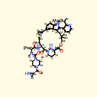 CO[C@@H](C)c1ncccc1-c1c2c3cc(ccc3n1C)-c1csc(n1)C[C@H](NC(=O)[C@H](C(C)C)N(C)C(=O)N1CCN(C(=O)[C@H]3CN3)C[C@H]1C)C(=O)N1CCC[C@H](N1)C(=O)OCC(C)(C)C2